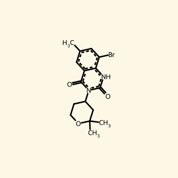 Cc1cc(Br)c2[nH]c(=O)n(C3CCOC(C)(C)C3)c(=O)c2c1